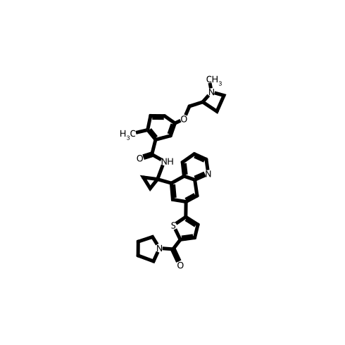 Cc1ccc(OCC2CCN2C)cc1C(=O)NC1(c2cc(-c3ccc(C(=O)N4CCCC4)s3)cc3ncccc23)CC1